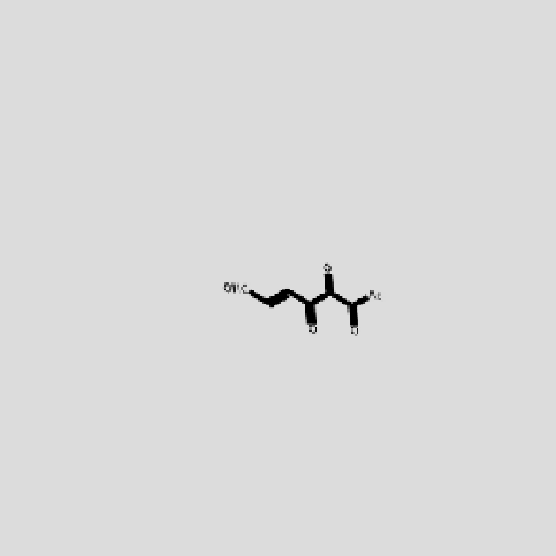 CC(=O)C(=O)C(=O)C(=O)C=CC=O